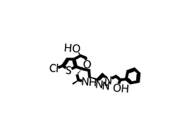 C[C@H]1C[C@@]2(C[C@@H](c3cn(CC(O)c4ccccc4)nn3)N1)OC[C@@H](O)c1cc(Cl)sc12